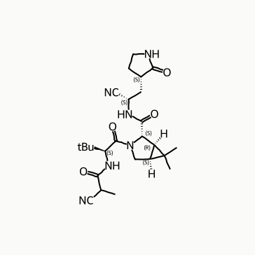 CC(C#N)C(=O)N[C@H](C(=O)N1C[C@H]2[C@@H]([C@H]1C(=O)N[C@H](C#N)C[C@@H]1CCNC1=O)C2(C)C)C(C)(C)C